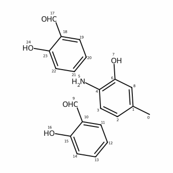 Cc1ccc(N)c(O)c1.O=Cc1ccccc1O.O=Cc1ccccc1O